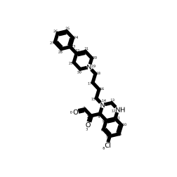 O=CC(=O)C1c2cc(Cl)ccc2NCN1CCCCN1CC=C(c2ccccc2)CC1